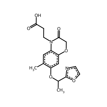 Cc1cc2c(cc1OC(C)c1ncco1)OCC(=O)N2CCC(=O)O